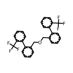 FC(F)(F)c1ccccc1-c1ccccc1COCc1ccccc1-c1ccccc1C(F)(F)F